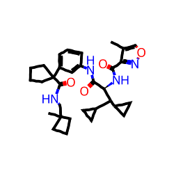 Cc1conc1C(=O)N[C@H](C(=O)Nc1cccc(C2(C(=O)NCC3(C)CCC3)CCCC2)c1)C(C1CC1)C1CC1